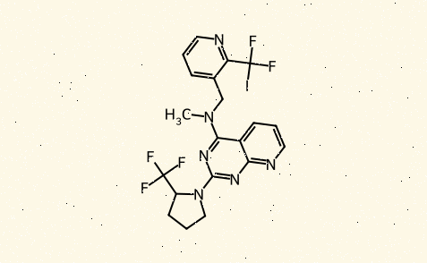 CN(Cc1cccnc1C(F)(F)I)c1nc(N2CCCC2C(F)(F)F)nc2ncccc12